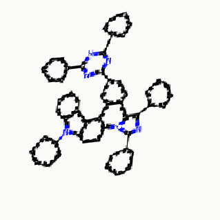 c1ccc(-c2nc(-c3ccccc3)nc(-c3ccc4c(c3)c3c5c6ccccc6n(-c6ccccc6)c5ccc3n3c(-c5ccccc5)nc(-c5ccccc5)c43)n2)cc1